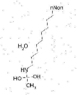 CCCCCCCCCCCCCCCCCCNC(C)(O)O.O